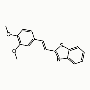 COc1ccc(C=Cc2nc3ccccc3s2)cc1OC